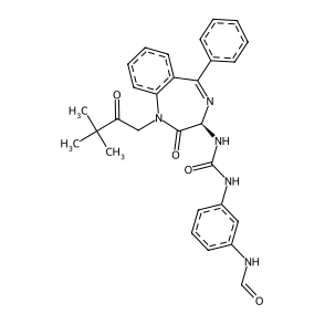 CC(C)(C)C(=O)CN1C(=O)[C@H](NC(=O)Nc2cccc(NC=O)c2)N=C(c2ccccc2)c2ccccc21